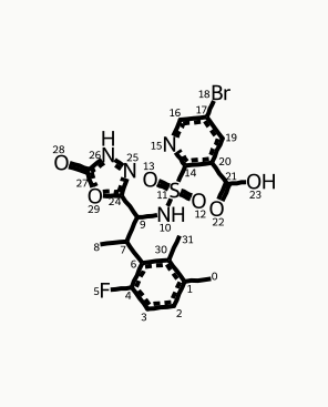 Cc1ccc(F)c(C(C)C(NS(=O)(=O)c2ncc(Br)cc2C(=O)O)c2n[nH]c(=O)o2)c1C